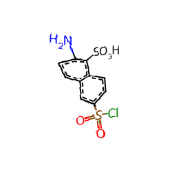 Nc1ccc2cc(S(=O)(=O)Cl)ccc2c1S(=O)(=O)O